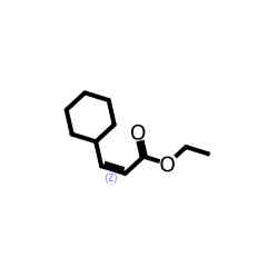 CCOC(=O)/C=C\C1CCCCC1